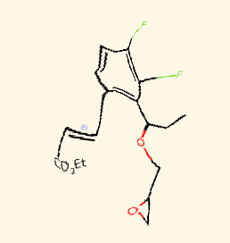 CCOC(=O)/C=C/c1ccc(F)c(F)c1C(C)OCC1CO1